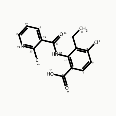 CCc1c(Cl)ccc(C(=O)O)c1NC(=O)c1cccnc1Cl